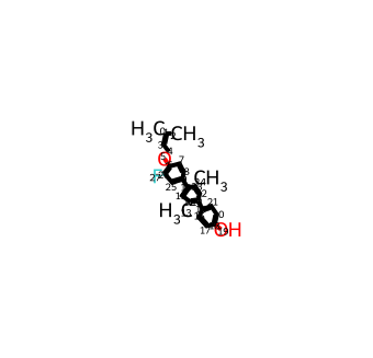 CC(C)=CCOc1ccc(-c2cc(C)c(-c3ccc(O)cc3)cc2C)cc1F